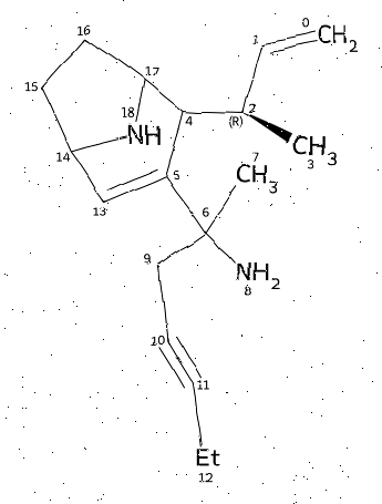 C=C[C@@H](C)C1C(C(C)(N)CC#CCC)=CC2CCC1N2